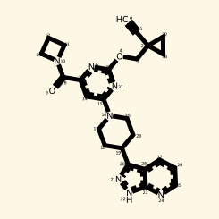 C#CC1(COc2nc(C(=O)N3CCC3)cc(N3CCC(c4n[nH]c5ncccc45)CC3)n2)CC1